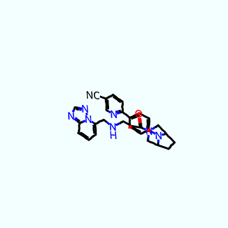 N#Cc1ccc(-c2ccc(N3C4CCC3CN(C(=O)CCNCc3cccc5ncnn35)C4)cc2)nc1